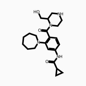 O=C(Nc1ccc(C(=O)N2CCNCC2CO)c(N2CCCCCC2)c1)C1CC1